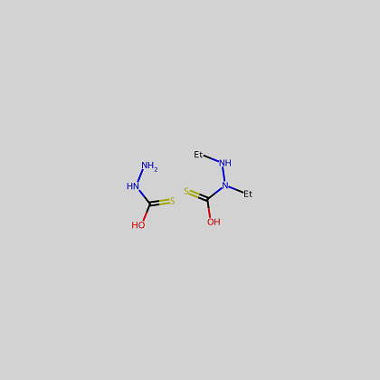 CCNN(CC)C(O)=S.NNC(O)=S